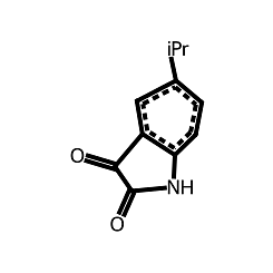 CC(C)c1ccc2c(c1)C(=O)C(=O)N2